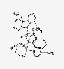 C=C(C#N)/C=C\c1c(C)c2c(n1C1=C(c3ccc(C#N)cc3-c3ccc(N4c5c(C#N)cccc5C5(CC)C=CC=CC45)cc3)C=CCC=C1)C=CCC=C2